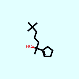 CC(C)(C)CCCC(C)(O)C1=CCCC1